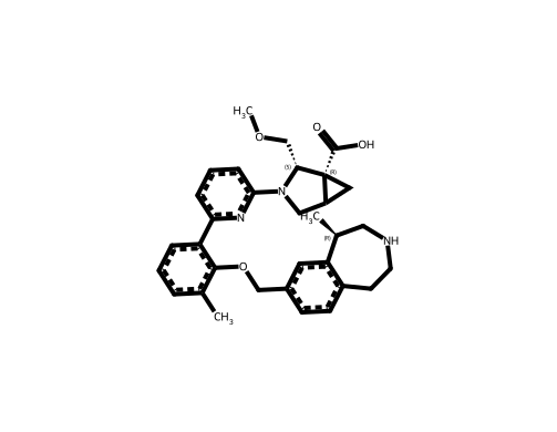 COC[C@H]1N(c2cccc(-c3cccc(C)c3OCc3ccc4c(c3)[C@@H](C)CNCC4)n2)CC2C[C@@]21C(=O)O